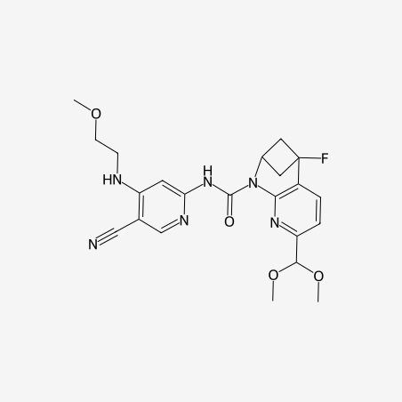 COCCNc1cc(NC(=O)N2c3nc(C(OC)OC)ccc3C3(F)CC2C3)ncc1C#N